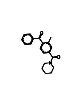 Cc1cc(C(=O)N2CCCCC2)ccc1C(=O)c1ccccc1